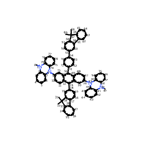 CN1c2ccccc2N(c2ccc3c(-c4ccc5c(c4)C(C)(C)c4ccccc4-5)c4cc(N5c6ccccc6N(C)c6ccccc65)ccc4c(-c4ccc(-c5ccc6c(c5)-c5ccccc5C6(C)C)cc4)c3c2)c2ccccc21